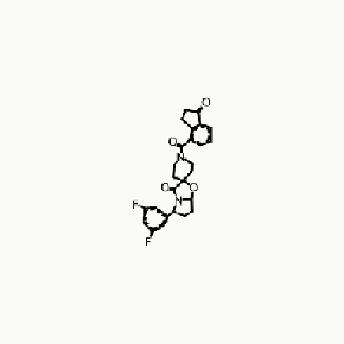 O=C1CCc2c1cccc2C(=O)N1CCC2(CC1)OC1CCC(c3cc(F)cc(F)c3)N1C2=O